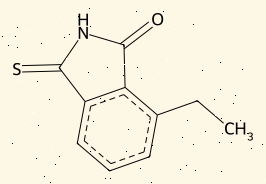 CCc1cccc2c1C(=O)NC2=S